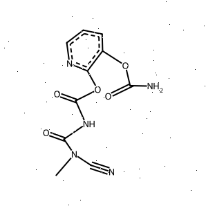 CN(C#N)C(=O)NC(=O)Oc1ncccc1OC(N)=O